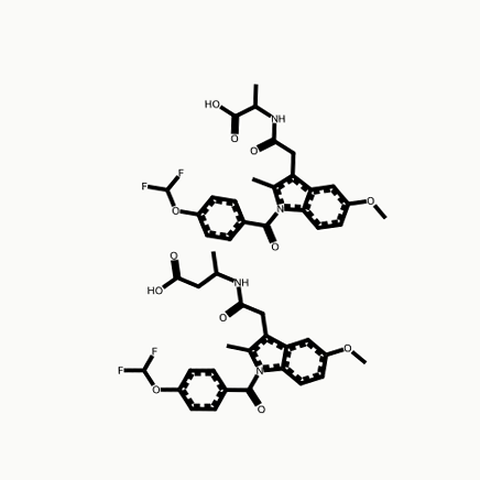 COc1ccc2c(c1)c(CC(=O)NC(C)C(=O)O)c(C)n2C(=O)c1ccc(OC(F)F)cc1.COc1ccc2c(c1)c(CC(=O)NC(C)CC(=O)O)c(C)n2C(=O)c1ccc(OC(F)F)cc1